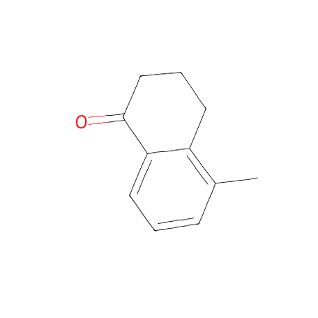 Cc1cccc2c1CCCC2=O